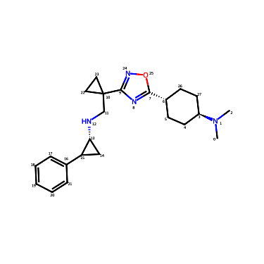 CN(C)[C@H]1CC[C@H](c2nc(C3(CN[C@@H]4CC4c4ccccc4)CC3)no2)CC1